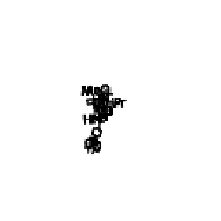 C=C(N[C@H](C(=O)N1OC2(CCC2)C[C@H]1c1ncc(-c2ccc(B3OC(C)(C)C(C)(C)O3)cc2)[nH]1)C(C)C)OC